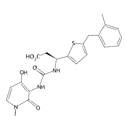 Cc1ccccc1Cc1ccc([C@H](CC(=O)O)NC(=O)Nc2c(O)ccn(C)c2=O)s1